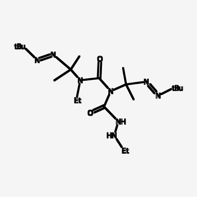 CCNNC(=O)N(C(=O)N(CC)C(C)(C)N=NC(C)(C)C)C(C)(C)N=NC(C)(C)C